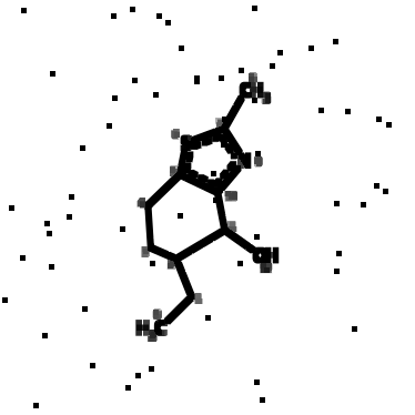 CCC1CCc2sc(C)nc2C1O